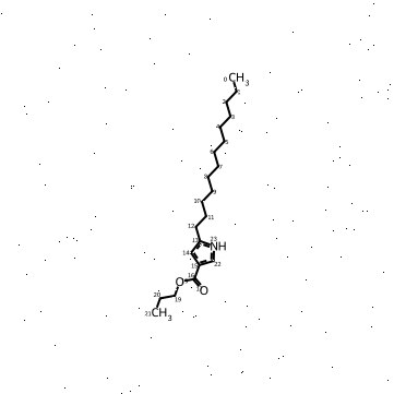 CCCCCCCCCCCCCc1cc(C(=O)OCCC)c[nH]1